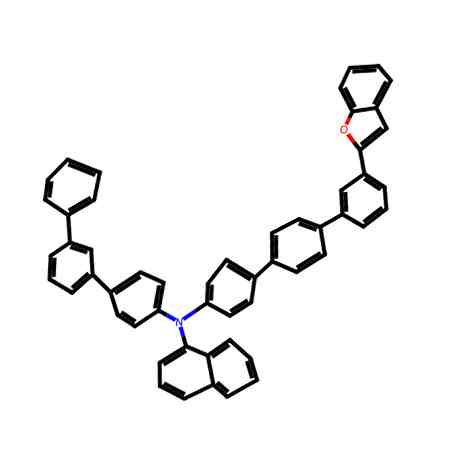 c1ccc(-c2cccc(-c3ccc(N(c4ccc(-c5ccc(-c6cccc(-c7cc8ccccc8o7)c6)cc5)cc4)c4cccc5ccccc45)cc3)c2)cc1